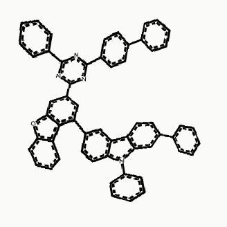 c1ccc(-c2ccc(-c3nc(-c4ccccc4)nc(-c4cc(-c5ccc6c(c5)c5ccc(-c7ccccc7)cc5n6-c5ccccc5)c5c(c4)oc4ccccc45)n3)cc2)cc1